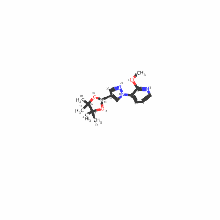 COc1ncccc1-n1cc(B2OC(C)(C)C(C)(C)O2)cn1